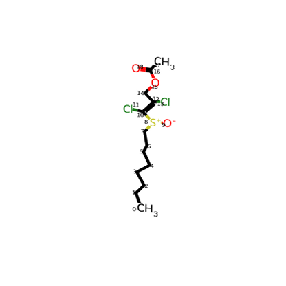 CCCCCCCC[S+]([O-])C(Cl)=C(Cl)COC(C)=O